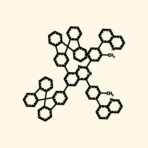 Cc1cc(-c2nc(-c3ccc(-c4cccc5cccnc45)c(C)c3)c3cc(-c4ccc5c(c4)C4(c6ccccc6-c6ccccc64)c4ccccc4-5)cc(-c4ccc5c(c4)C4(c6ccccc6-c6ccccc64)c4ccccc4-5)c3n2)ccc1-c1cccc2cccnc12